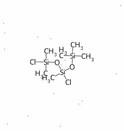 C[Si](C)(C)O[Si](C)(Cl)O[Si](C)(C)Cl